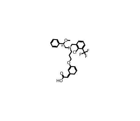 CO[C@@H](CN(CCCOC1=CC(=CC(=O)O)CC=C1)Cc1cccc(C(F)(F)F)c1Cl)c1ccccc1